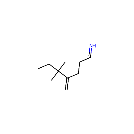 C=C(CCC=N)C(C)(C)CC